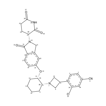 N#Cc1ccc(C2CN([C@@H]3CCCC[C@@H]3Oc3ccc4c(c3)CN([C@@H]3CCC(=O)NC3=O)C4=O)C2)c(Cl)c1